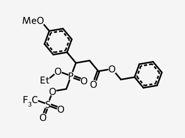 CCOP(=O)(COS(=O)(=O)C(F)(F)F)C(CC(=O)OCc1ccccc1)c1ccc(OC)cc1